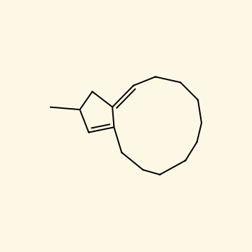 CC1C=C2CCCCCCCCCC=C2C1